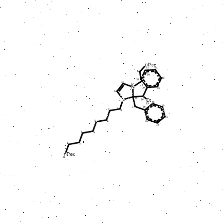 CCCCCCCCCCCCCCCCCCN1C=CN(CCCCCCCCCCCC)C1(Cc1ccccc1)C(CC)c1ccccc1